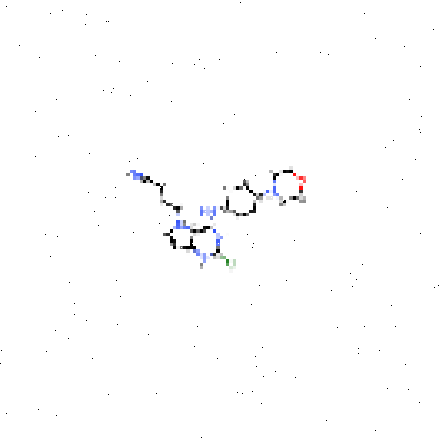 N#CCCCn1ccc2nc(Cl)nc(N[C@H]3CC[C@H](N4CCOCC4)CC3)c21